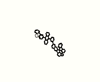 c1cc(-c2ccc3cc4c(cc3c2)C2(c3ccccc3-c3ccccc32)c2c-4ccc3ccccc23)cc(-c2c3ccccc3c(-c3ccc4oc5ccccc5c4c3)c3ccccc23)c1